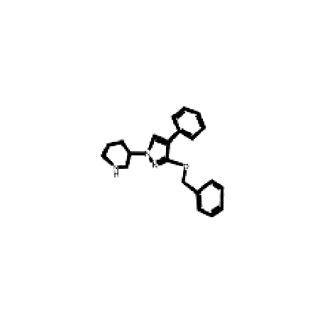 c1ccc(COc2nn(C3CCCNC3)cc2-c2ccccc2)cc1